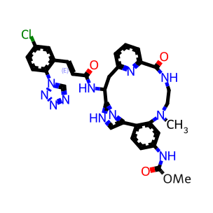 COC(=O)Nc1ccc2c(c1)N(C)CCNC(=O)c1cccc(n1)CC(NC(=O)/C=C/c1cc(Cl)ccc1-n1cnnn1)c1nc-2c[nH]1